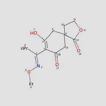 CCCC(=NOCC)C1=C(O)CC2(CCOC2=O)CC1=O